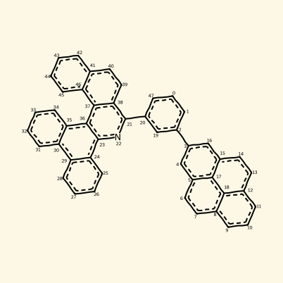 c1cc(-c2cc3ccc4cccc5ccc(c2)c3c45)cc(-c2nc3c4ccccc4c4ccccc4c3c3c2ccc2ccccc23)c1